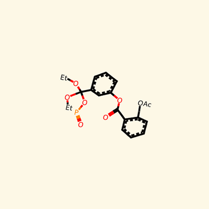 CCOC(OCC)(OP=O)c1cccc(OC(=O)c2ccccc2OC(C)=O)c1